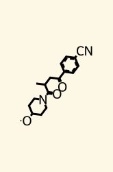 CC(CC(=O)c1ccc(C#N)cc1)C(=O)N1CCC([O])CC1